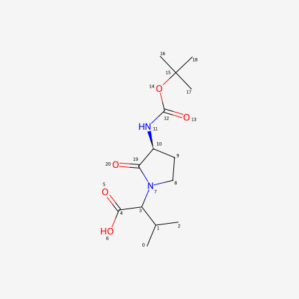 CC(C)C(C(=O)O)N1CC[C@H](NC(=O)OC(C)(C)C)C1=O